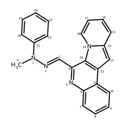 CN(N=Cc1nc2ccccc2c2cc3ccccn3c12)c1ccccc1